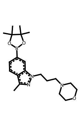 Cc1nn(CCCN2CCOCC2)c2cc(B3OC(C)(C)C(C)(C)O3)ccc12